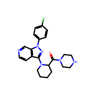 O=C(C1CCCCN1c1nn(-c2ccc(Cl)cc2)c2cnccc12)N1CCNCC1